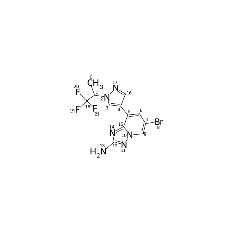 CC(n1cc(-c2cc(Br)cn3nc(N)nc23)cn1)C(F)(F)F